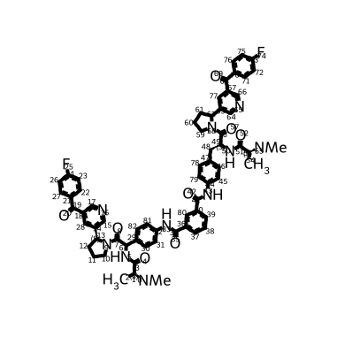 CN[C@@H](C)C(=O)NC(C(=O)N1CCC[C@H]1c1cncc(C(=O)c2ccc(F)cc2)c1)c1ccc(NC(=O)c2cccc(C(=O)Nc3ccc(C[C@H](NC(=O)[C@H](C)NC)C(=O)N4CCCC4c4cncc(C(=O)c5ccc(F)cc5)c4)cc3)c2)cc1